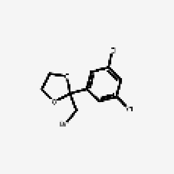 Clc1cc(Cl)cc(C2(CBr)OCCO2)c1